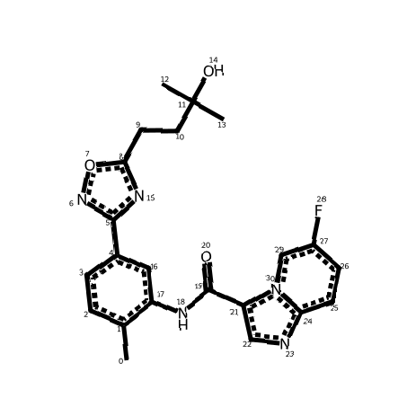 Cc1ccc(-c2noc(CCC(C)(C)O)n2)cc1NC(=O)c1cnc2ccc(F)cn12